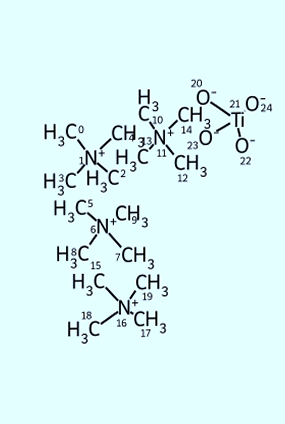 C[N+](C)(C)C.C[N+](C)(C)C.C[N+](C)(C)C.C[N+](C)(C)C.[O-][Ti]([O-])([O-])[O-]